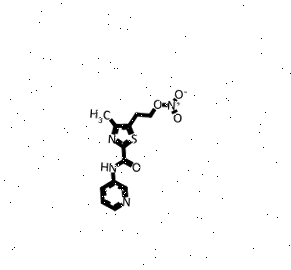 Cc1nc(C(=O)Nc2cccnc2)sc1CCO[N+](=O)[O-]